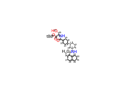 CC(N[C@H]1CCC[C@H](c2ccc(C(=O)NC(CO)C(=O)OC(C)(C)C)cc2)C1)c1cccc2ccccc12